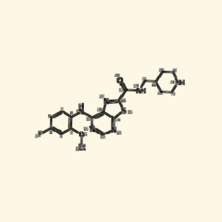 CCOc1cc(F)ccc1Nc1ncnc2sc(C(=O)NCC3CCNCC3)nc12